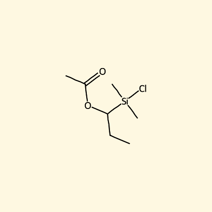 CCC(OC(C)=O)[Si](C)(C)Cl